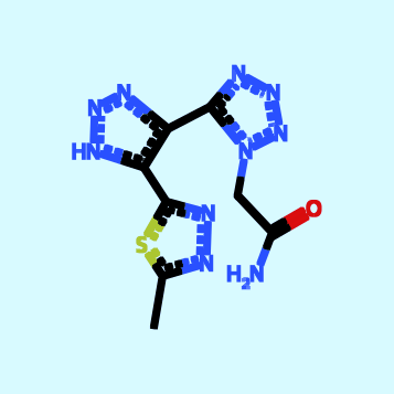 Cc1nnc(-c2[nH]nnc2-c2nnnn2CC(N)=O)s1